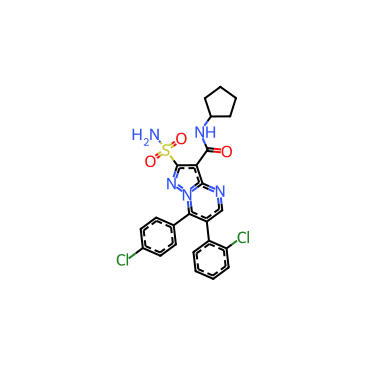 NS(=O)(=O)c1nn2c(-c3ccc(Cl)cc3)c(-c3ccccc3Cl)cnc2c1C(=O)NC1CCCC1